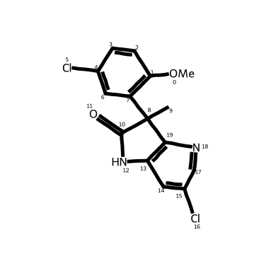 COc1ccc(Cl)cc1C1(C)C(=O)Nc2cc(Cl)cnc21